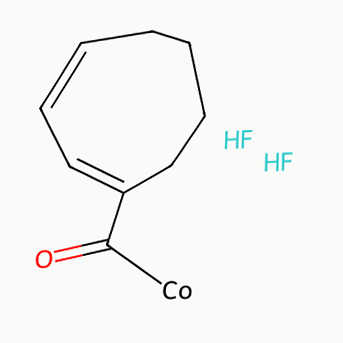 F.F.O=[C]([Co])C1=CC=CCCCC1